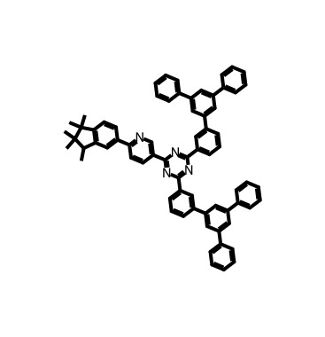 CC1c2cc(-c3ccc(-c4nc(-c5cccc(-c6cc(-c7ccccc7)cc(-c7ccccc7)c6)c5)nc(-c5cccc(-c6cc(-c7ccccc7)cc(-c7ccccc7)c6)c5)n4)cn3)ccc2C(C)(C)C1(C)C